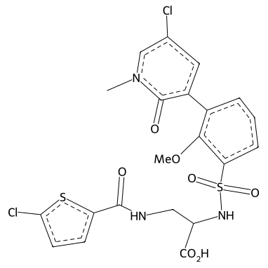 COc1c(-c2cc(Cl)cn(C)c2=O)cccc1S(=O)(=O)NC(CNC(=O)c1ccc(Cl)s1)C(=O)O